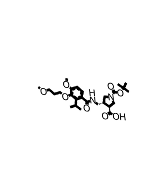 COCCCOc1c(OC)ccc(C(=O)NC[C@@H]2CN(C(=O)OC(C)(C)C)C[C@H]2C(=O)O)c1C(C)C